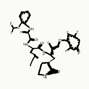 CC(C)CC(NC(=O)C(=O)Nc1ccccc1OC(F)F)C(=O)NC(C[C@@H]1CCNC1=O)C(=O)COc1c(F)c(F)cc(F)c1F